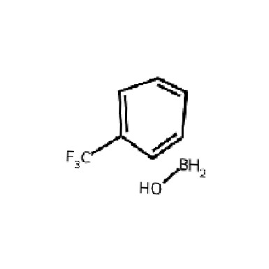 BO.FC(F)(F)c1ccccc1